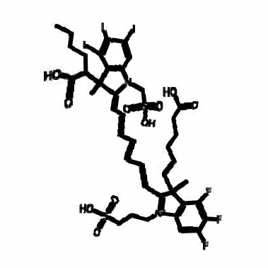 CCCCC(C(=O)O)C1(C)/C(=C/C=C/C=C/C=C/C2=[N+](CCCS(=O)(=O)O)c3cc(F)c(F)c(F)c3C2(C)CCCCCC(=O)O)N(CS(=O)(=O)O)c2cc(I)c(I)c(I)c21